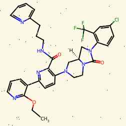 CCOc1ncccc1-c1ccc(N2CCN3C(=O)N(c4ccc(Cl)cc4C(F)(F)F)C[C@@H]3C2)c(C(=O)NCCCc2ccccn2)n1